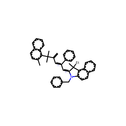 C=C(/C=C(/C=C1/N(Cc2ccccc2)c2ccc3ccccc3c2C1(C)CC)c1ccccc1)C(C)(C)c1c(C)ccc2ccccc12